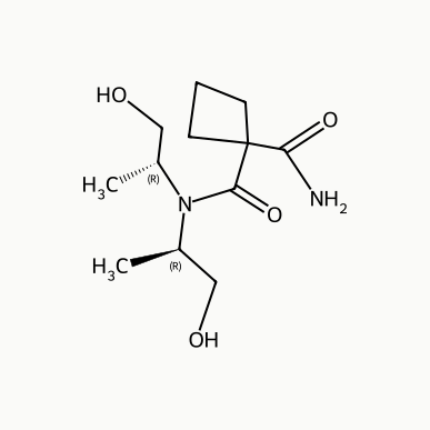 C[C@H](CO)N(C(=O)C1(C(N)=O)CCC1)[C@H](C)CO